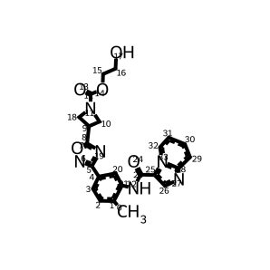 Cc1ccc(-c2noc(C3CN(C(=O)OCCO)C3)n2)cc1NC(=O)c1cnc2ccccn12